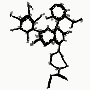 C=CC(=O)N1CCN(c2nc(=O)n(-c3c(C)ccnc3C(C)C)c3nc(-c4c(F)c(N)c(F)c(F)c4Cl)c(F)cc23)CC1